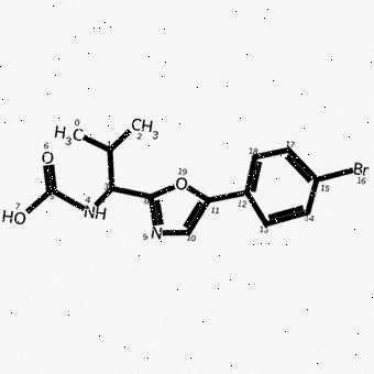 CC(C)C(NC(=O)O)c1ncc(-c2ccc(Br)cc2)o1